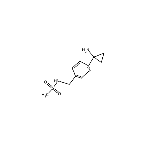 CS(=O)(=O)NCc1ccc(C2(N)CC2)nc1